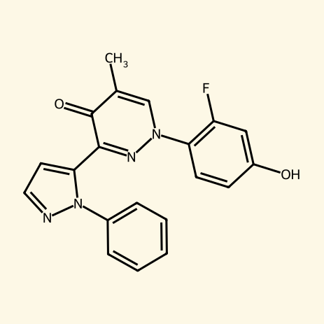 Cc1cn(-c2ccc(O)cc2F)nc(-c2ccnn2-c2ccccc2)c1=O